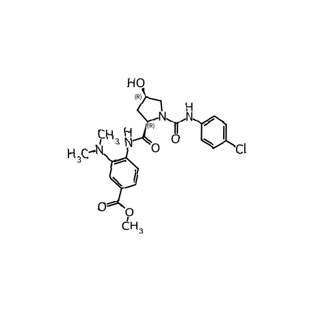 COC(=O)c1ccc(NC(=O)[C@H]2C[C@@H](O)CN2C(=O)Nc2ccc(Cl)cc2)c(N(C)C)c1